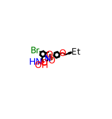 CCC#CCOc1ccc(S(=O)(=O)N(C)c2c(C)cc(Br)cc2C(=O)NO)cc1